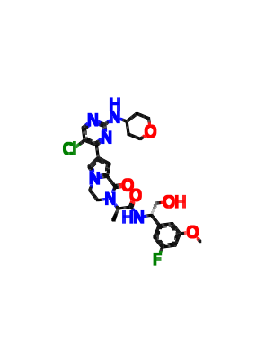 COc1cc(F)cc([C@@H](CO)NC(=O)[C@@H](C)N2CCn3cc(-c4nc(NC5CCOCC5)ncc4Cl)cc3C2=O)c1